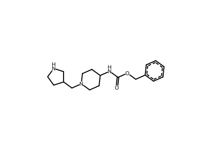 O=C(NC1CCN(CC2CCNC2)CC1)OCc1ccccc1